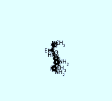 CC[C@@H]1[C@@H](C(=O)Nc2cc3cc(-c4cncc(N)c4C)c(F)c(N)c3cn2)[C@@H]1c1cnn(C)c1